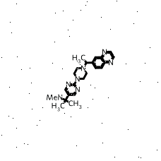 CNC(C)(C)c1cnc(N2CCN(C(C)c3ccc4nccnc4c3)CC2)nc1